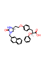 C[C@@](Cc1ccc(OCC[C@H]2CN(Cc3ccc4ccccc4c3)C(=O)N2)cc1)(Oc1ccccc1)C(=O)O